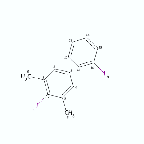 Cc1cccc(C)c1I.Ic1ccccc1